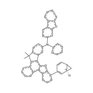 CC1(C)c2ccc(N(c3ccccc3)c3ccc4c(c3)oc3ccccc34)cc2-c2c1c1ccccc1c1c2oc2c(C3=C[C@@H]4CC4C=C3)cccc21